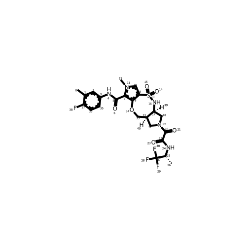 Cc1cc(NC(=O)c2c3c(cn2C)S(=O)(=O)N[C@H]2CN(C(=O)C(=O)N[C@H](C)C(F)(F)F)C[C@H]2CO3)ccc1F